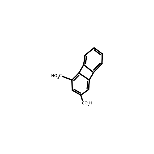 O=C(O)c1cc(C(=O)O)c2c(c1)-c1ccccc1-2